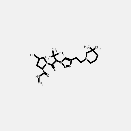 CNC(=O)[C@H]1CC(O)CN1C(=O)C(n1cc(CCN2CCCC(C)(C)C2)nn1)C(C)(C)C